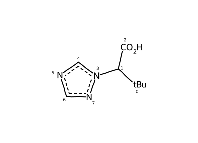 CC(C)(C)C(C(=O)O)n1cncn1